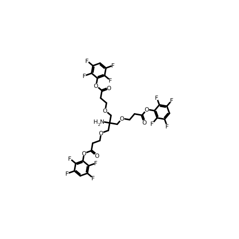 NC(COCCC(=O)Oc1c(F)c(F)cc(F)c1F)(COCCC(=O)Oc1c(F)c(F)cc(F)c1F)COCCC(=O)Oc1c(F)c(F)cc(F)c1F